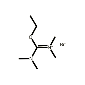 CCOC(N(C)C)=[N+](C)C.[Br-]